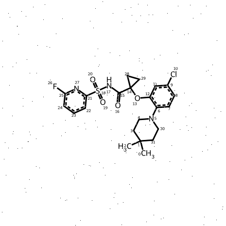 CC1(C)CCN(c2ccc(Cl)cc2OC2(C(=O)NS(=O)(=O)c3cccc(F)n3)CC2)CC1